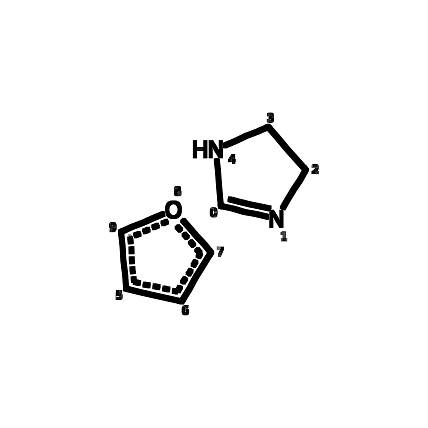 C1=NCCN1.c1ccoc1